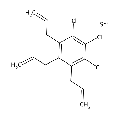 C=CCc1c(Cl)c(Cl)c(Cl)c(CC=C)c1CC=C.[Sn]